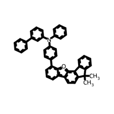 CC1(C)c2ccccc2-c2c1ccc1c2oc2c(-c3ccc(N(c4ccccc4)c4cccc(-c5ccccc5)c4)cc3)cccc21